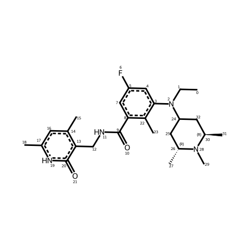 CCN(c1cc(F)cc(C(=O)NCc2c(C)cc(C)[nH]c2=O)c1C)C1C[C@@H](C)N(C)[C@H](C)C1